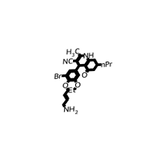 CCCC1CC(=O)C2=C(C1)NC(C)=C(C#N)C2c1cc(Br)c(OCC=CCN)c(OCC)c1